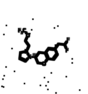 FC(F)Cc1ccc2c(c1)C[C@@H](N1C=CCN1CCOC(F)(F)F)CO2